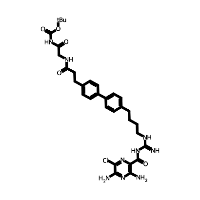 CC(C)(C)OC(=O)NC(=O)CNC(=O)CCc1ccc(-c2ccc(CCCCNC(=N)NC(=O)c3nc(Cl)c(N)nc3N)cc2)cc1